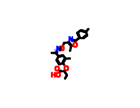 CCC(Oc1ccc(/C(C)=N\OCc2nc(-c3ccc(C)cc3)oc2C)cc1C)C(=O)O